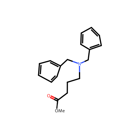 COC(=O)CCCN(Cc1ccccc1)Cc1ccccc1